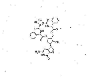 C=C1[C@H](COC(=O)[C@H](NC(=O)OC(C)(C)C)c2ccccc2)[C@@H](OC(=O)[C@H](NC(=O)OC(C)(C)C)c2ccccc2)C[C@@H]1n1cnc2c(=O)[nH]c(N)nc21